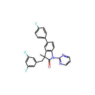 CC1(Cc2cc(F)cc(F)c2)C(=O)N(c2ncccn2)c2ccc(-c3ccc(F)cc3)cc21